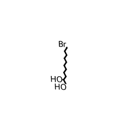 OCC(O)CCCCCCCCCBr